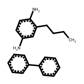 CCCCc1cc(N)ccc1N.c1ccc(-c2ccccc2)cc1